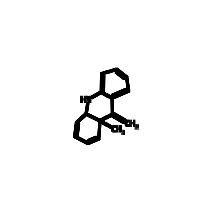 C=C1c2ccccc2NC2C=CC=CC12C